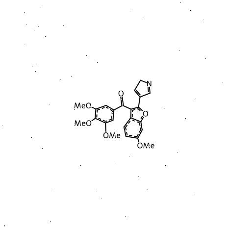 COc1ccc2c(C(=O)c3cc(OC)c(OC)c(OC)c3)c(C3=CCN=C3)oc2c1